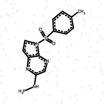 Cc1ccc(S(=O)(=O)n2ccc3nc(NP)cnc32)cc1